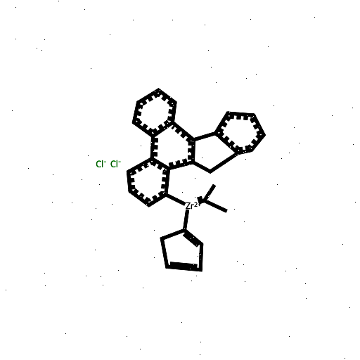 C[C](C)=[Zr+2]([C]1=CC=CC1)[c]1cccc2c1c1c(c3ccccc32)-c2ccccc2C1.[Cl-].[Cl-]